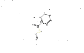 C=CSC(=C)C1=CCCC=C1